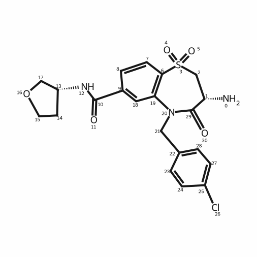 N[C@H]1CS(=O)(=O)c2ccc(C(=O)N[C@@H]3CCOC3)cc2N(Cc2ccc(Cl)cc2)C1=O